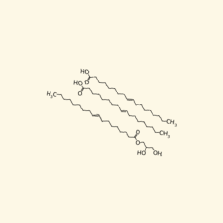 CCCCCCCCC=CCCCCCCCC(=O)O.CCCCCCCCC=CCCCCCCCC(=O)O.CCCCCCCCC=CCCCCCCCC(=O)OCC(O)CO